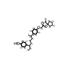 CCC(CCCC(C)c1ccc(OCC(=O)OC2(CC)CCCC2)cc1)c1ccc(O)cc1